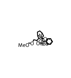 COCOCC(O)C1C2CCC(CN1Cc1ccccc1)N2C(=O)OC(C)(C)C